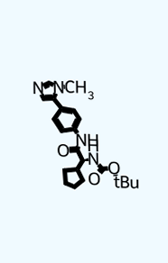 Cn1cncc1-c1ccc(NC(=O)[C@@H](NC(=O)OC(C)(C)C)C2CCCC2)cc1